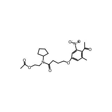 CC(=O)OCCN(C(=O)CCCOc1cc(C)c(C(C)=O)c([N+](=O)[O-])c1)C1CCCC1